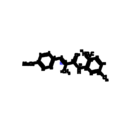 COc1ccc(/C=C(\C)C(=O)Nc2cc(Cl)ccc2C(=O)O)cc1